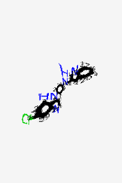 Clc1ccc2c(N[C@H]3CC[C@@H](NCc4cnc5ccccc5c4)CC3)ccnc2c1